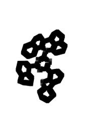 c1ccc2c(-c3nc(-c4cccc5c4sc4ccccc45)nc(N4c5c(ccc6ccccc56)-c5cccc6cccc4c56)n3)cccc2c1